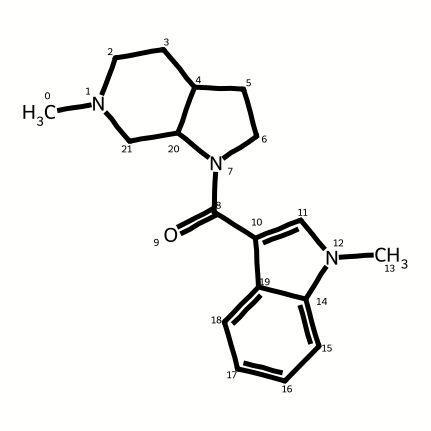 CN1CCC2CCN(C(=O)c3cn(C)c4ccccc34)C2C1